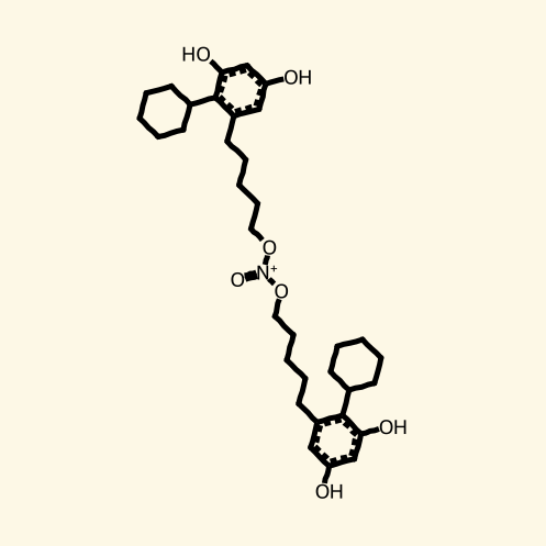 O=[N+](OCCCCCc1cc(O)cc(O)c1C1CCCCC1)OCCCCCc1cc(O)cc(O)c1C1CCCCC1